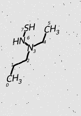 CCCN(CC)NS